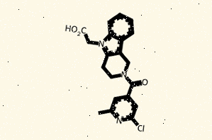 Cc1cc(C(=O)N2CCc3c(c4ccccc4n3CC(=O)O)C2)cc(Cl)n1